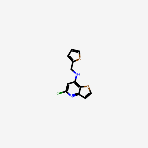 Clc1cc(NCc2cccs2)c2sccc2n1